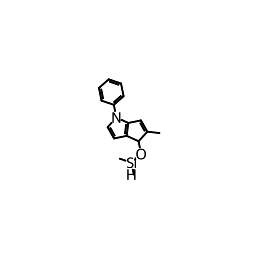 CC1=Cc2c(ccn2-c2ccccc2)C1O[SiH](C)C